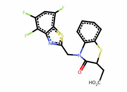 O=C(O)CC1Sc2ccccc2N(Cc2nc3c(F)c(F)cc(F)c3s2)C1=O